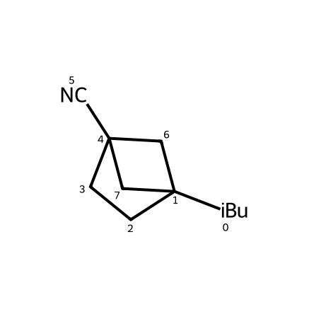 CCC(C)C12CCC(C#N)(C1)C2